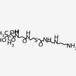 CC(C)(CO)[C@@H](O)C(=O)NCCC(=O)NCCSCC(=O)NCCCNCCCCN